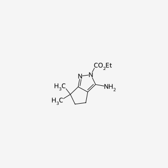 CCOC(=O)n1nc2c(c1N)CCC2(C)C